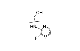 CC(C)(CO)Nc1ncc[c]c1F